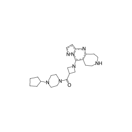 O=C(C1CN(c2c3c(nc4ccnn24)CCNCC3)C1)N1CCN(C2CCCC2)CC1